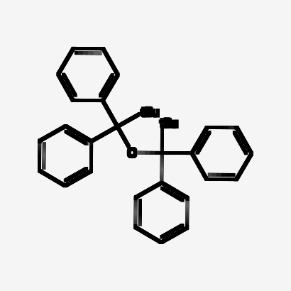 CC(C)(C)C(OC(c1ccccc1)(c1ccccc1)C(C)(C)C)(c1ccccc1)c1ccccc1